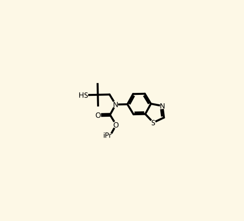 CC(C)OC(=O)N(CC(C)(C)S)c1ccc2ncsc2c1